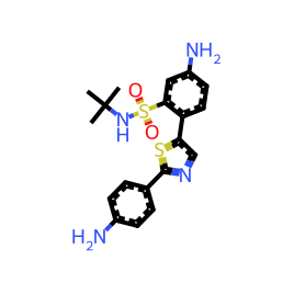 CC(C)(C)NS(=O)(=O)c1cc(N)ccc1-c1cnc(-c2ccc(N)cc2)s1